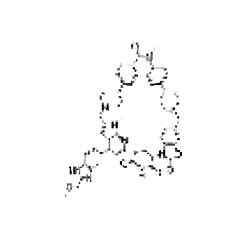 COCc1nc2cc(-c3ccnc4c3cc(CN3CCC(c5ccc(C(=O)N(C)c6ccc(C7CCN(Cc8ccc9c(c8)oc(=O)n9C8CCC(=O)NC8=O)CC7)cc6)cc5)CC3)n4C)ccc2[nH]1